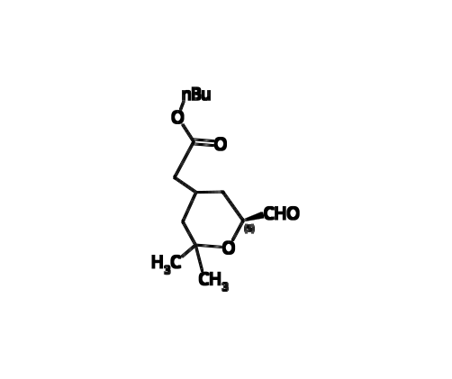 CCCCOC(=O)CC1C[C@@H](C=O)OC(C)(C)C1